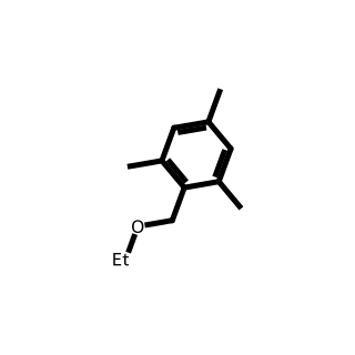 [CH2]COCc1c(C)cc(C)cc1C